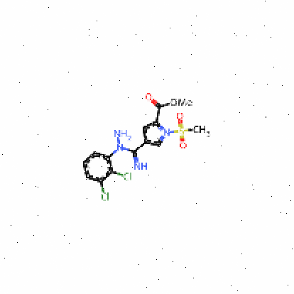 COC(=O)c1cc(C(=N)N(N)c2cccc(Cl)c2Cl)cn1S(C)(=O)=O